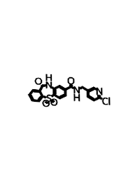 O=C(NCc1ccc(Cl)nc1)c1ccc2c(c1)NC(=O)c1ccccc1S2(=O)=O